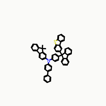 CC1(C)c2ccccc2-c2ccc(N(c3ccc(-c4ccccc4)cc3)c3ccc(C4(c5ccc6sc7ccccc7c6c5)c5ccccc5-c5ccccc54)cc3)cc21